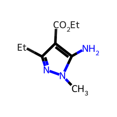 CCOC(=O)c1c(CC)nn(C)c1N